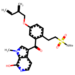 C=CC(=C)COc1ccc(CCS(=O)(=O)NC)c(C(=O)c2cn(C)c3c(O)nccc23)c1